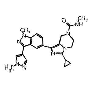 CNC(=O)N1CCn2c(C3CC3)nc(-c3ccc4c(c3)c(-c3cnn(C)c3)nn4C)c2C1